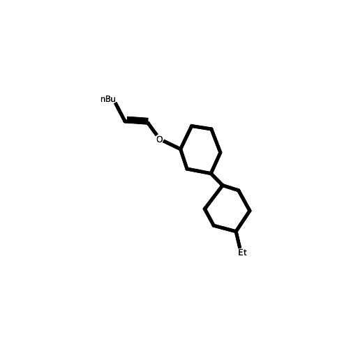 CCCC/C=C/OC1CCCC(C2CCC(CC)CC2)C1